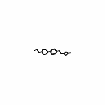 CCCC1CCC(c2ccc(CCC3CC(C)C3)cc2)CC1